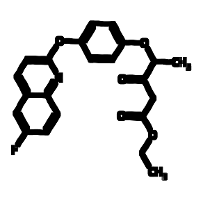 CCOC(=O)CC(=O)C(C)Oc1ccc(Oc2ccc3cc(F)ccc3n2)cc1